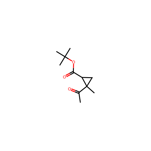 CC(=O)C1(C)CC1C(=O)OC(C)(C)C